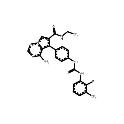 Nc1ncnn2cc(C(=O)NCC(F)(F)F)c(-c3ccc(NC(=O)Nc4cccc(C(F)(F)F)c4F)cc3)c12